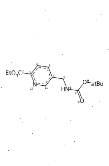 CCOC(=O)c1ccc(CNC(=O)OC(C)(C)C)cn1